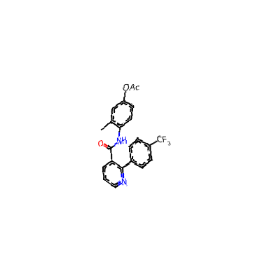 CC(=O)Oc1ccc(NC(=O)c2cccnc2-c2ccc(C(F)(F)F)cc2)c(C)c1